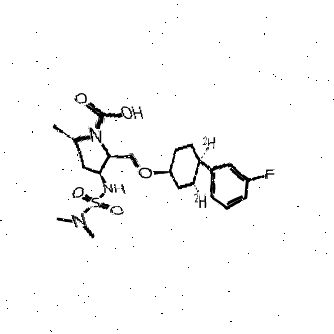 [2H][C@@H]1C[C@@H](OC[C@H]2[C@@H](NS(=O)(=O)N(C)C)C[C@@H](C)N2C(=O)O)CC[C@@]1([2H])c1cccc(F)c1